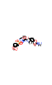 CC(C)CN(C[C@@H](O)[C@H](Cc1ccc(OC(=O)NC(C)C)cc1)NC(=O)O)S(=O)(=O)c1ccc2c(c1)OCO2